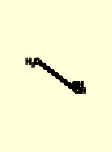 CCCCCCCCCCCCCCCCCC(O)CO